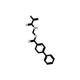 C=C(C)C(=O)NCOC(=O)C1=CC=C(c2ccccc2)CC1